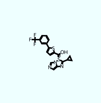 OC(c1ccc(-c2cccc(C(F)(F)F)c2)s1)[SH]1C(C2CC2)=Nc2cncn21